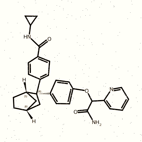 NC(=O)C(Oc1ccc([C@]2(c3ccc(C(=O)NC4CC4)cc3)C[C@@H]3CC[C@H]2C3)cc1)c1ccccn1